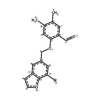 Cc1cc(C=O)c(OCc2cc(Br)c3occc3c2)cc1C